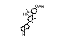 COc1cccc([C@H](C)Nc2cc(-c3ccc4[nH]ccc4c3)nc(C)n2)c1